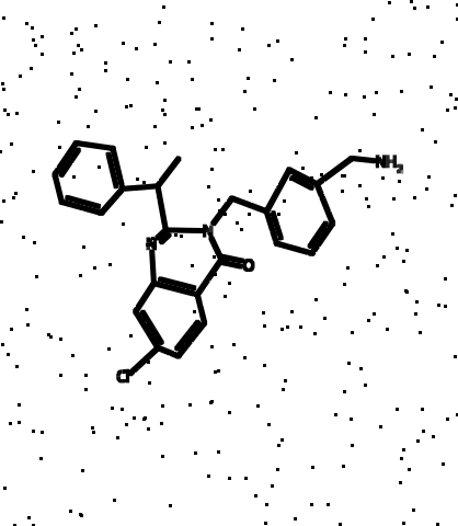 CC(c1ccccc1)c1nc2cc(Cl)ccc2c(=O)n1Cc1cccc(CN)c1